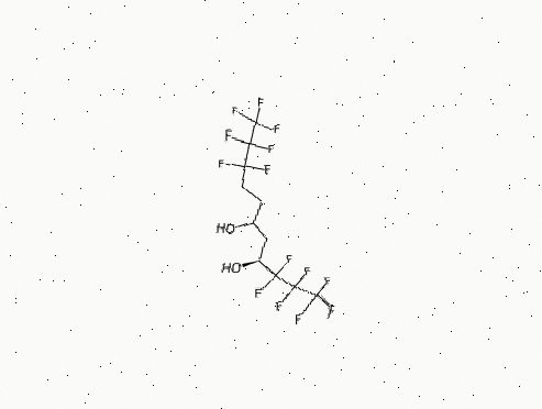 OC(CCC(F)(F)C(F)(F)C(F)(F)F)C[C@H](O)C(F)(F)C(F)(F)C(F)(F)F